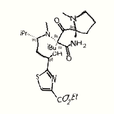 CCOC(=O)c1csc([C@H](O)C[C@H](C(C)C)N(C)[C@@](C(N)=O)(C(=O)[C@@]2(C)CCCN2C)[C@@H](C)CC)n1